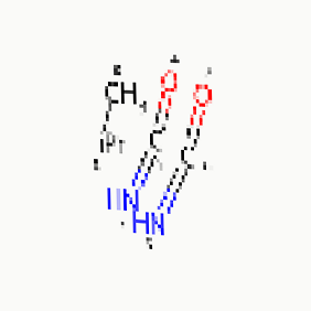 CC(C)C.N=C=O.N=C=O